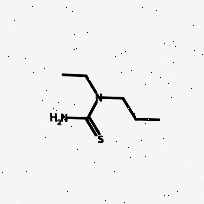 CCCN(CC)C(N)=S